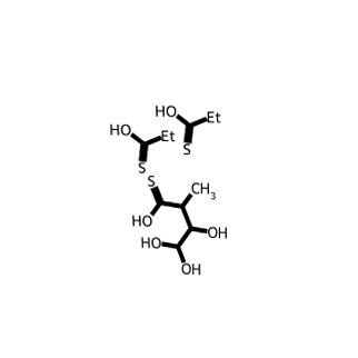 CC(C(O)=S)C(O)C(O)O.CCC(O)=S.CCC(O)=S